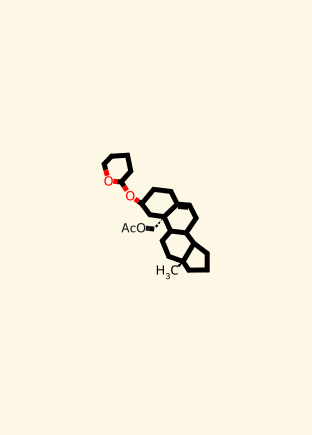 CC(=O)OC[C@]12CC(OC3CCCCO3)CCC1=CCC1C3CCC[C@@]3(C)CCC12